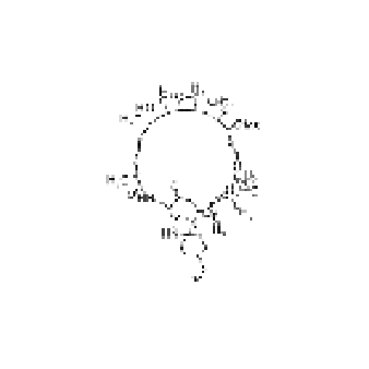 C=C1C(=O)[C@@]2(C)O/C=C/[C@H](OC)[C@@H](C)[C@@H](O)[C@H](C)[C@H](O)[C@H](C)[C@@H](O)[C@@H](C)/C=C/C=C(/C)C(=O)NC3=C4CN(C5(CCN(CC(C)C)CC5)N4)C(O)(CC3=O)/C(C)=C\1O2